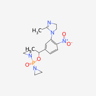 CC1=NCCN1c1cc(C(C)OP(=O)(N2CC2)N2CC2)ccc1[N+](=O)[O-]